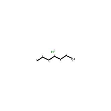 CCCCC[CH2][Na].F